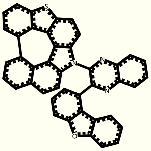 c1cc2c3c(c1)ccc1c3c3c4c(ccc3n1-c1nc3ccccc3nc1-c1cccc3oc5ccccc5c13)sc1cccc-2c14